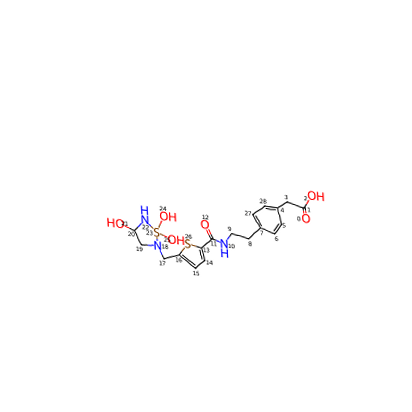 O=C(O)Cc1ccc(CCNC(=O)c2ccc(CN3CC(O)NS3(O)O)s2)cc1